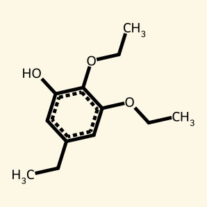 CCOc1cc(CC)cc(O)c1OCC